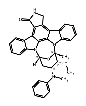 CO[C@@H]1[C@H](N(C)c2ccccc2)C[C@H]2O[C@]1(C)n1c3ccccc3c3c4c(c5c6ccccc6n2c5c31)C(=O)NC4